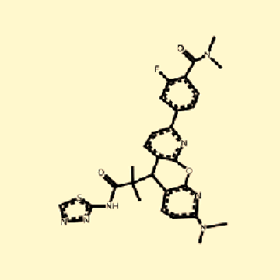 CN(C)C(=O)c1ccc(-c2ccc3c(n2)Oc2nc(N(C)C)ccc2C3C(C)(C)C(=O)Nc2nncs2)cc1F